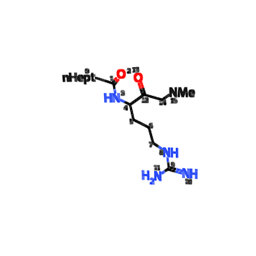 CCCCCCCC(=O)NC(CCCNC(=N)N)C(=O)CNC